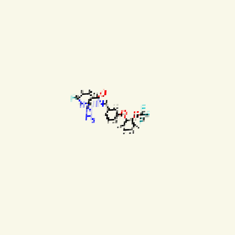 Nc1nc(F)ccc1C(=O)NCc1cccc(Oc2ccccc2OC(F)(F)F)c1